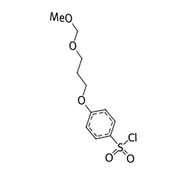 COCOCCCOc1ccc(S(=O)(=O)Cl)cc1